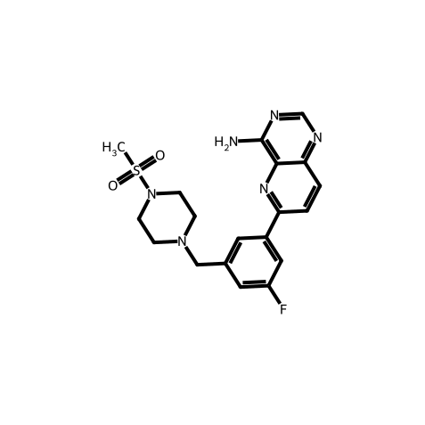 CS(=O)(=O)N1CCN(Cc2cc(F)cc(-c3ccc4ncnc(N)c4n3)c2)CC1